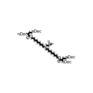 CCCCCCCCCCCCC(CCCCCCCCCC)C(=O)OCCCCCCCCCN(CCCCCCCCCOC(=O)C(CCCCCCCCCC)CCCCCCCCCCCC)CCN(C)C